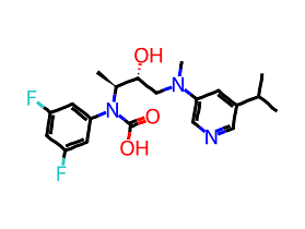 CC(C)c1cncc(N(C)C[C@@H](O)[C@H](C)N(C(=O)O)c2cc(F)cc(F)c2)c1